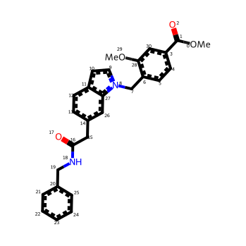 COC(=O)c1ccc(Cn2ccc3ccc(CC(=O)NCc4ccccc4)cc32)c(OC)c1